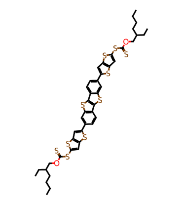 CCCCC(CC)COC(=S)Sc1cc2sc(-c3ccc4c(c3)sc3c5ccc(-c6cc7sc(SC(=S)OCC(CC)CCCC)cc7s6)cc5sc43)cc2s1